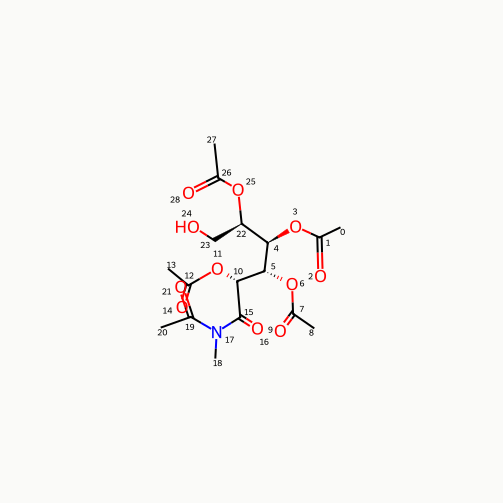 CC(=O)O[C@@H]([C@H](OC(C)=O)[C@@H](OC(C)=O)C(=O)N(C)C(C)=O)[C@@H](CO)OC(C)=O